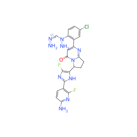 N/N=C\N(N)c1ccc(Cl)cc1-c1cc(=O)n2c(n1)CCC2c1[nH]c(-c2ccc(N)nc2F)nc1F